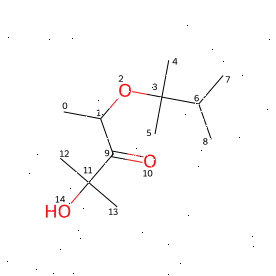 CC(OC(C)(C)C(C)C)C(=O)C(C)(C)O